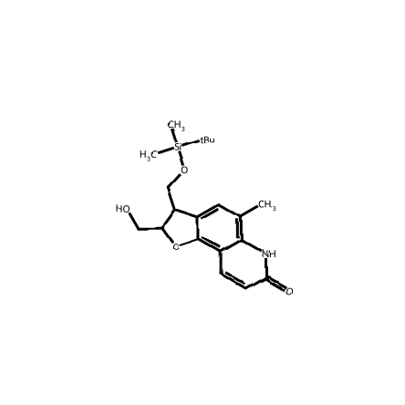 Cc1cc2c(c3ccc(=O)[nH]c13)OC(CO)C2CO[Si](C)(C)C(C)(C)C